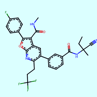 CCC(C)(C#N)NC(=O)c1cccc(-c2cc3c(C(=O)NC)c(-c4ccc(F)cc4)oc3nc2CCC(F)(F)F)c1